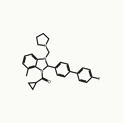 Cc1cccc2c1N(C(=O)C1CC1)C(c1ccc(-c3ccc(F)cc3)cc1)N2CN1CCCC1